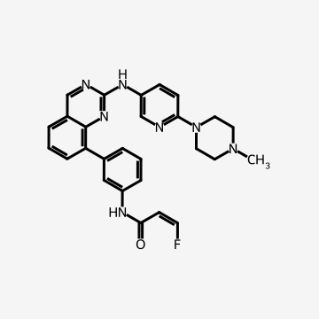 CN1CCN(c2ccc(Nc3ncc4cccc(-c5cccc(NC(=O)/C=C\F)c5)c4n3)cn2)CC1